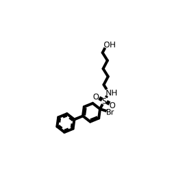 O=S(=O)(NCCCCCO)C1(Br)C=CC(c2ccccc2)=CC1